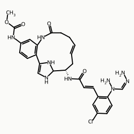 COC(=O)Nc1ccc2c(c1)NC(=O)CC/C=C/C[C@H](NC(=O)/C=C/c1cc(Cl)ccc1N(N)/C=N\N)C1NC=C2N1